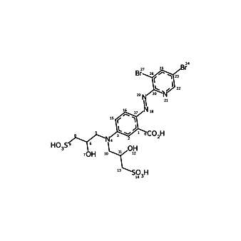 O=C(O)c1cc(N(CC(O)CS(=O)(=O)O)CC(O)CS(=O)(=O)O)ccc1N=Nc1ncc(Br)cc1Br